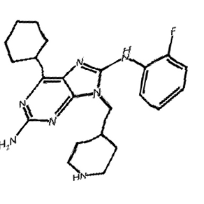 Nc1nc(C2CCCCC2)c2nc(Nc3ccccc3F)n(CC3CCNCC3)c2n1